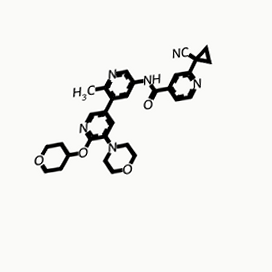 Cc1ncc(NC(=O)c2ccnc(C3(C#N)CC3)c2)cc1-c1cnc(OC2CCOCC2)c(N2CCOCC2)c1